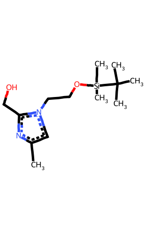 Cc1cn(CCO[Si](C)(C)C(C)(C)C)c(CO)n1